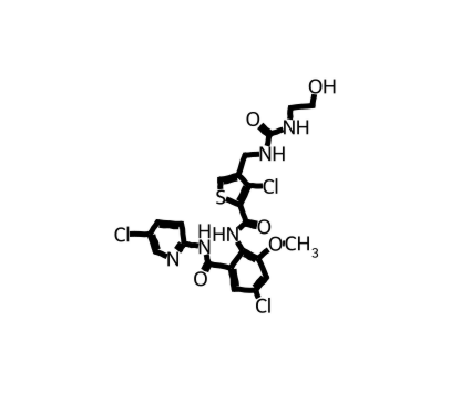 COc1cc(Cl)cc(C(=O)Nc2ccc(Cl)cn2)c1NC(=O)c1scc(CNC(=O)NCCO)c1Cl